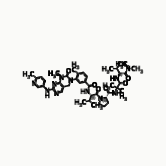 Cc1ccc(Nc2ncc3c(n2)N(C)C(=O)N(c2cc(C(=O)N[C@H](C(=O)N4CCC[C@H]4C(=O)NC(C)(C)C(=O)N[C@H](C(=O)N(C)C)C(C)C)C(C)C)ccc2C)C3)cn1